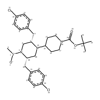 C[S+]([O-])N1C[C@H](Cc2ccc(Cl)cc2)N(C2CCN(C(=O)OC(C)(C)C)CC2)C[C@@H]1Cc1ccc(Cl)cc1